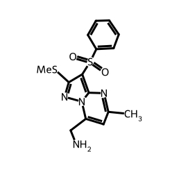 CSc1nn2c(CN)cc(C)nc2c1S(=O)(=O)c1ccccc1